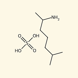 CC(C)CCCC(C)N.O=S(=O)(O)O